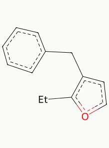 CCc1occc1Cc1ccccc1